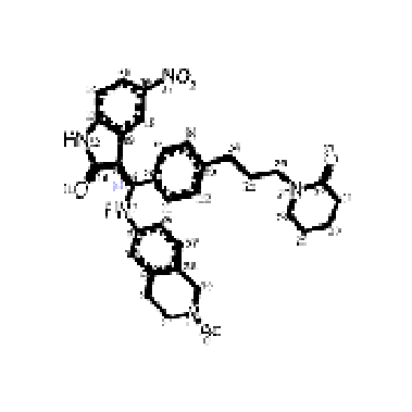 CC(=O)N1CCc2cc(N/C(=C3\C(=O)Nc4ccc([N+](=O)[O-])cc43)c3ccc(CCCN4CCCCC4=O)cc3)ccc2C1